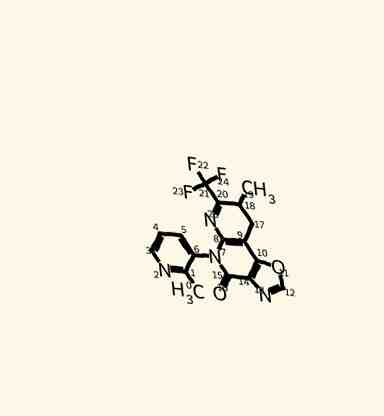 Cc1ncccc1-n1c2c(c3ocnc3c1=O)CC(C)C(C(F)(F)F)=N2